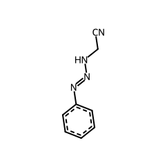 N#CCNN=Nc1ccccc1